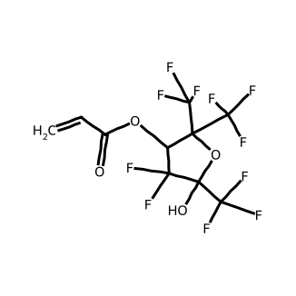 C=CC(=O)OC1C(F)(F)C(O)(C(F)(F)F)OC1(C(F)(F)F)C(F)(F)F